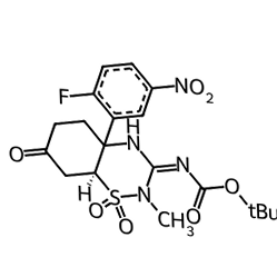 CN1/C(=N\C(=O)OC(C)(C)C)NC2(c3cc([N+](=O)[O-])ccc3F)CCC(=O)C[C@@H]2S1(=O)=O